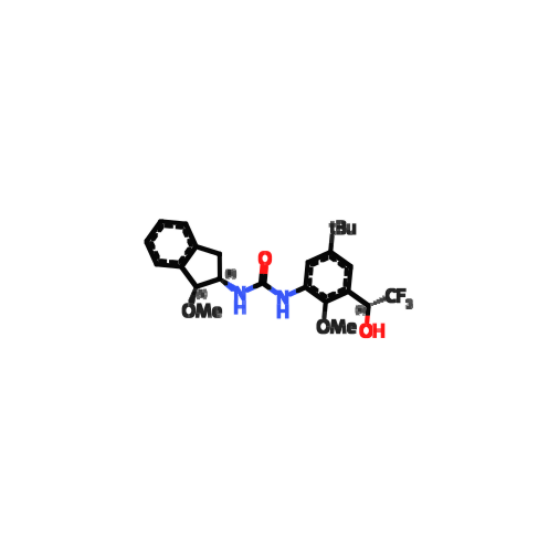 COc1c(NC(=O)N[C@@H]2Cc3ccccc3[C@@H]2OC)cc(C(C)(C)C)cc1[C@@H](O)C(F)(F)F